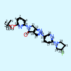 CC(C)(C)[Si](C)(C)Oc1cccc(N2Cc3nn(-c4ccc(N5CC[C@@H](F)C5)nc4)cc3C2=O)n1